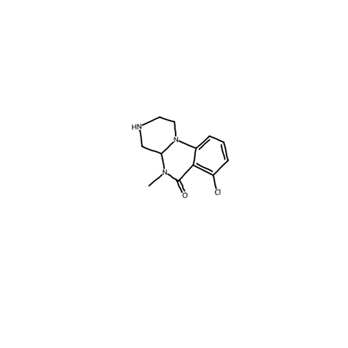 CN1C(=O)c2c(Cl)cccc2N2CCNCC12